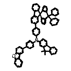 CC1(C)c2ccccc2-c2ccc(N(c3ccc(-c4ccc5c(c4)C4(c6ccccc6-5)c5ccccc5C(c5ccccc5)(c5ccccc5)c5ccccc54)cc3)c3ccc(-c4ccc5oc6ccccc6c5c4)cc3)cc21